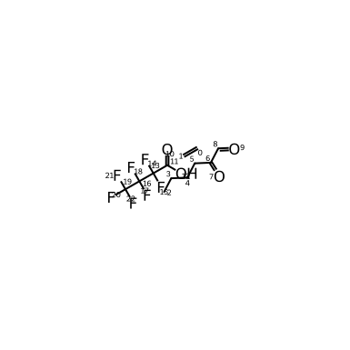 C=C.CCCCC(=O)C=O.O=C(O)C(F)(F)C(F)(F)C(F)(F)F